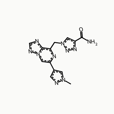 Cn1cc(-c2cn3ncnc3c(Cn3cc(C(N)=O)nn3)n2)cn1